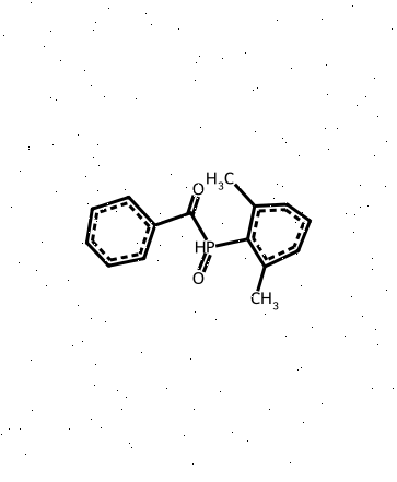 Cc1cccc(C)c1[PH](=O)C(=O)c1ccccc1